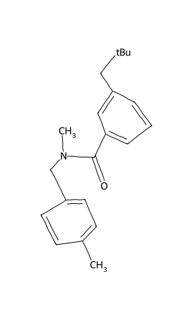 Cc1ccc(CN(C)C(=O)c2cccc(CC(C)(C)C)c2)cc1